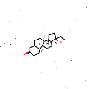 CCC1(O)CC[C@H]2[C@@H]3CCC4CC(=O)CC[C@]4(C)[C@@H]3CC[C@@]21C